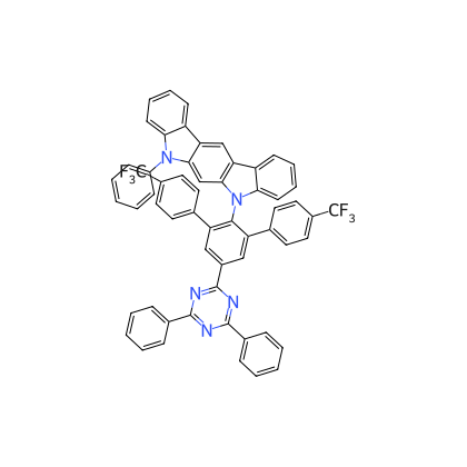 FC(F)(F)c1ccc(-c2cc(-c3nc(-c4ccccc4)nc(-c4ccccc4)n3)cc(-c3ccc(C(F)(F)F)cc3)c2-n2c3ccccc3c3cc4c5ccccc5n(-c5ccccc5)c4cc32)cc1